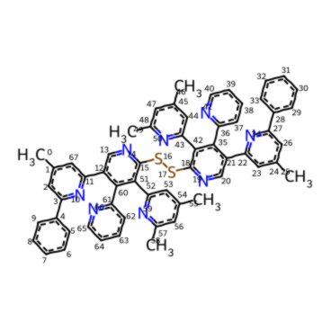 Cc1cc(-c2ccccc2)nc(-c2cnc(SSc3ncc(-c4cc(C)cc(-c5ccccc5)n4)c(-c4ccccn4)c3-c3cc(C)cc(C)n3)c(-c3cc(C)cc(C)n3)c2-c2ccccn2)c1